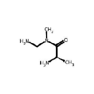 C[C@@H](N)C(=O)N(C)[CH]N